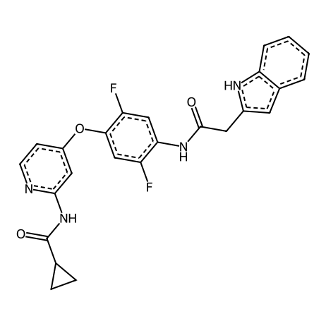 O=C(Cc1cc2ccccc2[nH]1)Nc1cc(F)c(Oc2ccnc(NC(=O)C3CC3)c2)cc1F